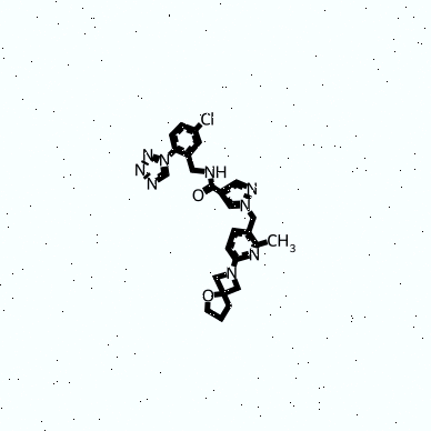 Cc1nc(N2CC3(CCCO3)C2)ccc1Cn1cc(C(=O)NCc2cc(Cl)ccc2-n2cnnn2)cn1